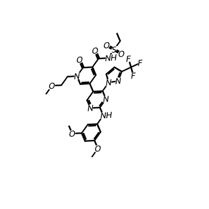 CCS(=O)(=O)NC(=O)c1cc(-c2cnc(Nc3cc(OC)cc(OC)c3)nc2-n2ccc(C(F)(F)F)n2)cn(CCOC)c1=O